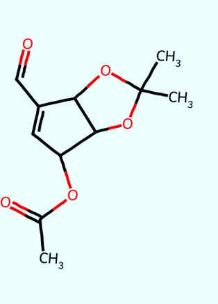 CC(=O)OC1C=C(C=O)C2OC(C)(C)OC12